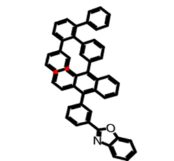 c1ccc(-c2cccc(-c3ccccc3)c2-c2cccc(-c3c4ccccc4c(-c4cccc(-c5nc6ccccc6o5)c4)c4ccccc34)c2)cc1